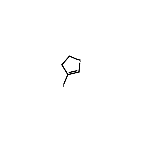 IC1=CSCC1